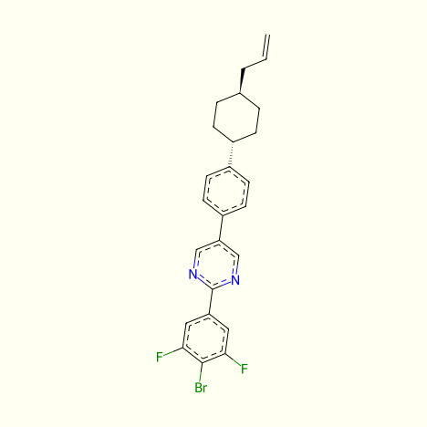 C=CC[C@H]1CC[C@H](c2ccc(-c3cnc(-c4cc(F)c(Br)c(F)c4)nc3)cc2)CC1